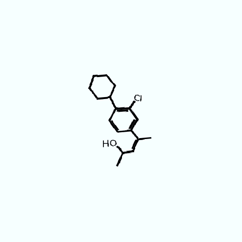 C/C(=C/C(C)O)c1ccc(C2CCCCC2)c(Cl)c1